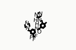 Cc1ccc(C(=O)Nc2cc(CN3CCN(C)CC3)cc(C(F)(F)F)c2)cc1CNc1cncnc1